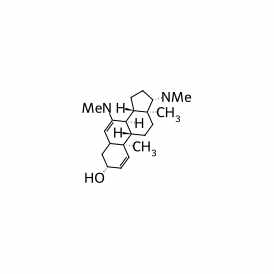 CNC1=CC2C[C@@H](O)C=C[C@]2(C)[C@H]2CC[C@]3(C)[C@@H](NC)CC[C@H]3[C@H]12